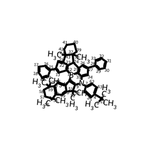 CC(C)(C)c1ccc(N2C3=C(B4c5cc(-c6ccccc6)cc6c5C(c5cc(-c7ccccc7)cc2c54)C2(C)CCCCC62C)c2cc4c(cc2C3(C)C)C(C)(C)CCC4(C)C)cc1